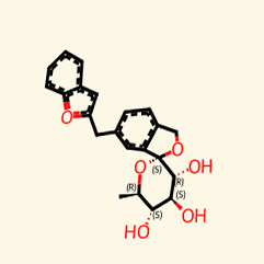 C[C@H]1O[C@]2(OCc3ccc(Cc4cc5ccccc5o4)cc32)[C@H](O)[C@@H](O)[C@@H]1O